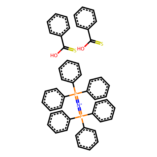 OC(=S)c1ccccc1.OC(=S)c1ccccc1.c1ccc(P(=[N+]=P(c2ccccc2)(c2ccccc2)c2ccccc2)(c2ccccc2)c2ccccc2)cc1